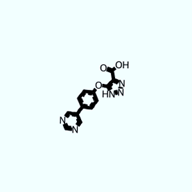 O=C(O)c1nn[nH]c1Oc1ccc(-c2cncnc2)cc1